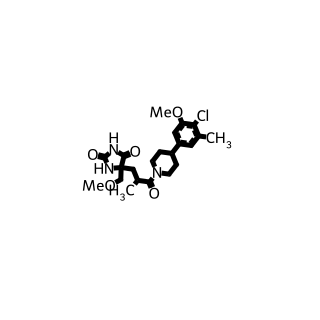 COCC1(CC(C)C(=O)N2CCC(c3cc(C)c(Cl)c(OC)c3)CC2)NC(=O)NC1=O